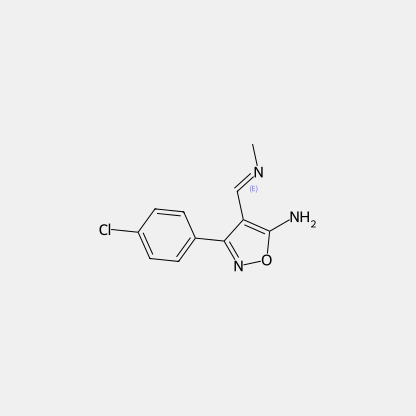 C/N=C/c1c(-c2ccc(Cl)cc2)noc1N